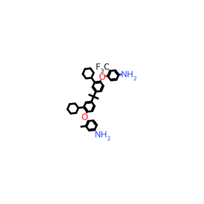 Cc1cc(N)ccc1Oc1ccc(C(C)(C)c2ccc(Oc3ccc(N)cc3C(F)(F)F)c(C3CCCCC3)c2)cc1C1CCCCC1